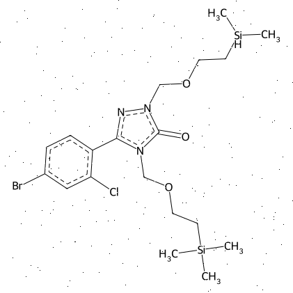 C[SiH](C)CCOCn1nc(-c2ccc(Br)cc2Cl)n(COCC[Si](C)(C)C)c1=O